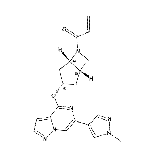 C=CC(=O)N1C[C@@H]2C[C@H](Oc3nc(-c4cnn(C)c4)cn4nccc34)C[C@@H]21